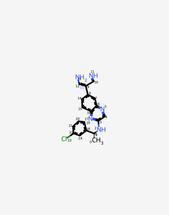 C[C@@H](Nc1cnc2cc(/C(C=N)=C/N)ccc2n1)c1cccc(Cl)c1